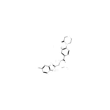 CSC[C@H](NC(=O)c1ccc(N2CCOCC2=O)c(C)c1)c1nc2cc(Cl)ccc2[nH]1